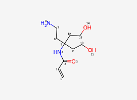 C=CC(=O)NC(CCN)(CCO)CCO